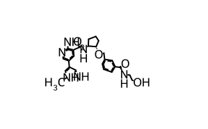 CN/C=C(\C=N)c1cnc(N)c(C(=O)N[C@H]2CCC[C@@H]2OCc2cccc(C(=O)NCCO)c2)c1